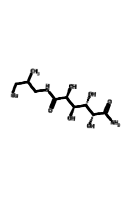 CCC(C)CC(C)CNC(=O)[C@@H](O)[C@H](O)[C@H](O)[C@@H](O)C(N)=O